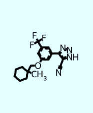 CC1(COc2cc(-c3nn[nH]c3C#N)cc(C(F)(F)F)c2)CCCCC1